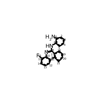 Nc1ccccc1N/C(=N/c1ccccc1F)c1ccccc1I